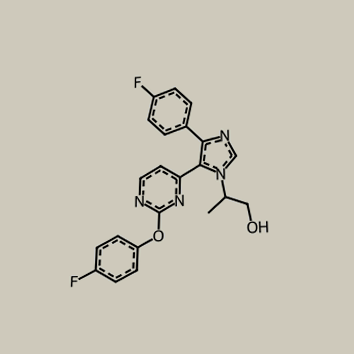 CC(CO)n1cnc(-c2ccc(F)cc2)c1-c1ccnc(Oc2ccc(F)cc2)n1